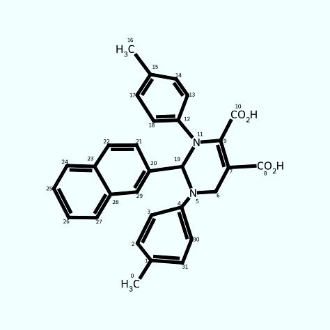 Cc1ccc(N2CC(C(=O)O)=C(C(=O)O)N(c3ccc(C)cc3)C2c2ccc3ccccc3c2)cc1